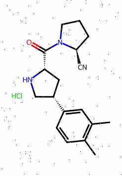 Cc1ccc([C@@H]2CN[C@H](C(=O)N3CCC[C@H]3C#N)C2)cc1C.Cl